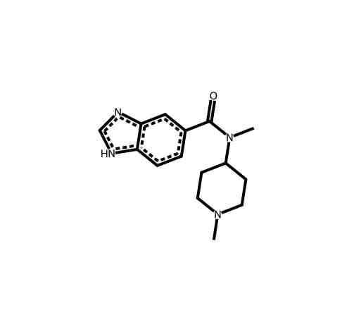 CN1CCC(N(C)C(=O)c2ccc3[nH]cnc3c2)CC1